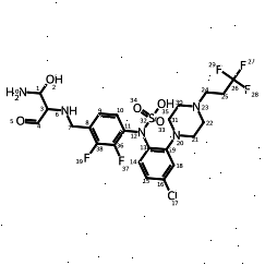 NC(O)C(C=O)NCc1ccc(N(c2ccc(Cl)cc2N2CCN(CCC(F)(F)F)CC2)S(=O)(=O)O)c(F)c1F